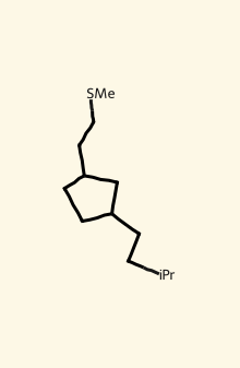 CSCCC1CCC(CCC(C)C)C1